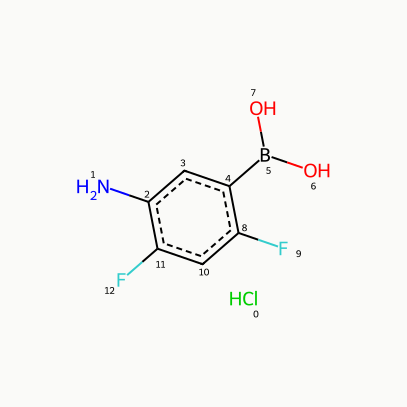 Cl.Nc1cc(B(O)O)c(F)cc1F